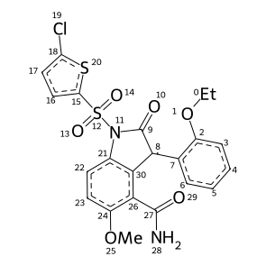 CCOc1ccccc1[C]1C(=O)N(S(=O)(=O)c2ccc(Cl)s2)c2ccc(OC)c(C(N)=O)c21